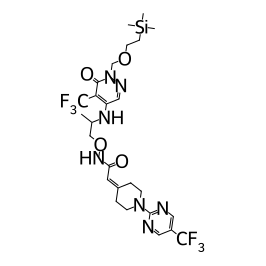 CC(CONC(=O)C=C1CCN(c2ncc(C(F)(F)F)cn2)CC1)Nc1cnn(COCC[Si](C)(C)C)c(=O)c1C(F)(F)F